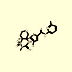 Cc1cccc(NC(=O)c2cc(Cl)c([C@]34COCC[C@@H]3S(=O)(=O)N(C)C(=N)N4)s2)n1